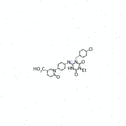 CCn1c(=O)[nH]/c(=N\c2ccc(-n3cc(C(=O)O)ccc3=O)cc2)n(Cc2ccc(Cl)cc2)c1=O